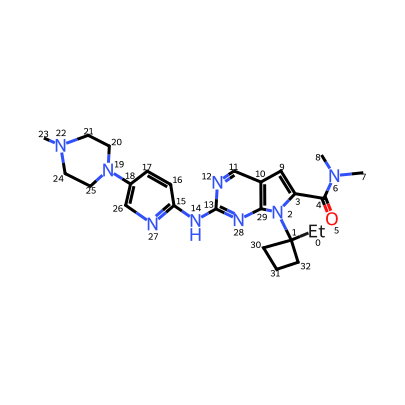 CCC1(n2c(C(=O)N(C)C)cc3cnc(Nc4ccc(N5CCN(C)CC5)cn4)nc32)CCC1